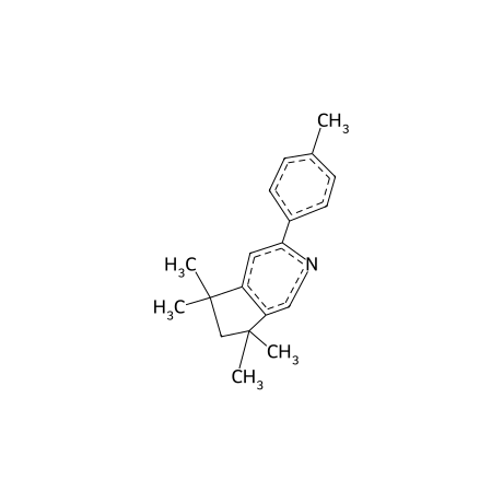 Cc1ccc(-c2cc3c(cn2)C(C)(C)CC3(C)C)cc1